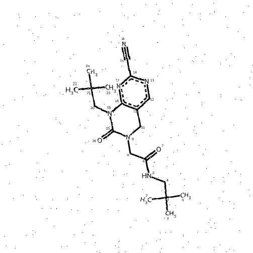 CC(C)(C)CNC(=O)CN1Cc2cnc(C#N)nc2N(CC(C)(C)C)C1=O